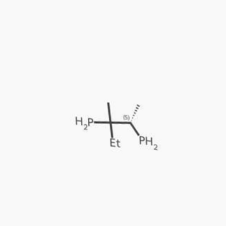 CCC(C)(P)[C@H](C)P